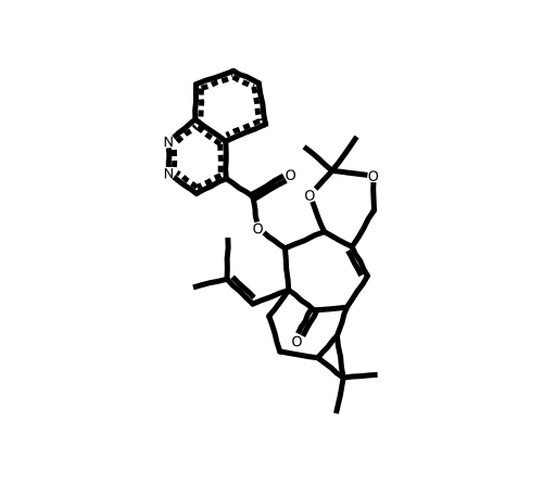 CC(C)=CC12CCC3C(C(C=C4COC(C)(C)OC4C1OC(=O)c1cnnc4ccccc14)C2=O)C3(C)C